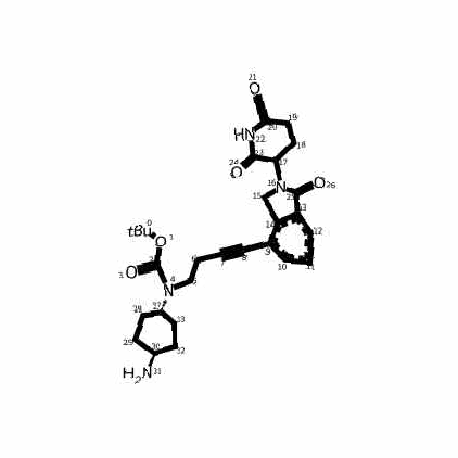 CC(C)(C)OC(=O)N(CCC#Cc1cccc2c1CN(C1CCC(=O)NC1=O)C2=O)[C@H]1CC[C@H](N)CC1